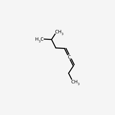 CCC=C=CCC(C)C